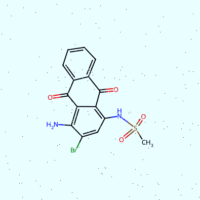 CS(=O)(=O)Nc1cc(Br)c(N)c2c1C(=O)c1ccccc1C2=O